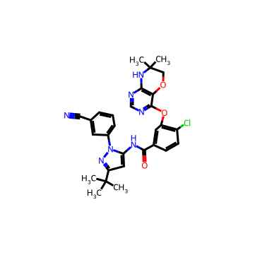 CC1(C)COc2c(ncnc2Oc2cc(C(=O)Nc3cc(C(C)(C)C)nn3-c3cccc(C#N)c3)ccc2Cl)N1